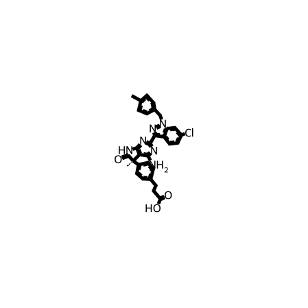 Cc1ccc(Cn2nc(-c3nc(N)c4c(n3)NC(=O)[C@]4(C)c3ccc(CCC(=O)O)cc3)c3ccc(Cl)cc32)cc1